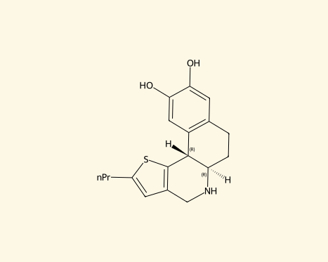 CCCc1cc2c(s1)[C@@H]1c3cc(O)c(O)cc3CC[C@H]1NC2